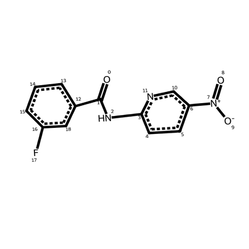 O=C(Nc1ccc([N+](=O)[O-])cn1)c1cccc(F)c1